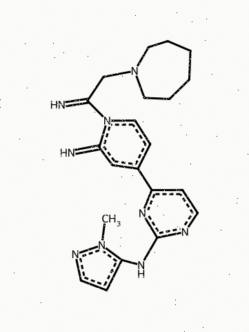 Cn1nccc1Nc1nccc(-c2ccn(C(=N)CN3CCCCCC3)c(=N)c2)n1